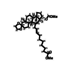 COCO[C@H]1CC[C@H]2[C@@H]3CC[C@H]4CC5(CC[C@]4(C)[C@H]3C(CC=CCCCCCCC(=O)OC)=C[C@]12C)OCCO5